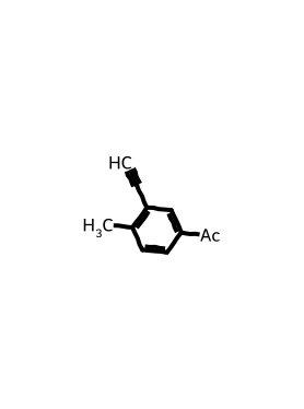 C#Cc1cc(C(C)=O)ccc1C